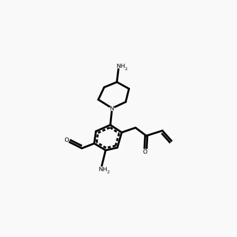 C=CC(=O)Cc1cc(N)c(C=O)cc1N1CCC(N)CC1